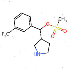 CS(=O)(=O)OC(c1cccc(C(F)(F)F)c1)C1CCNC1